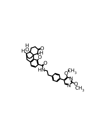 COc1ncc(-c2ccc(CCNC(=O)c3ccc4c5c3O[C@H]3C(=O)CC[C@@]6(O)[C@H](CCCC536)C4)cc2)c(OC)n1